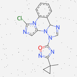 CC1(c2noc(N3C=NC4c5ccccc5-n5c(cnc5Cl)N43)n2)CC1